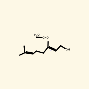 CC(C)=CCC/C(C)=C/CO.CC=O.O